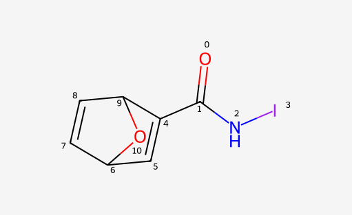 O=C(NI)C1=CC2C=CC1O2